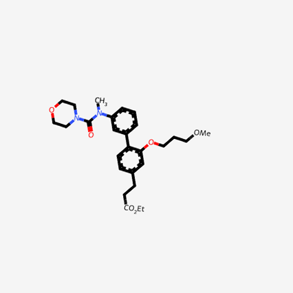 CCOC(=O)CCc1ccc(-c2cccc(N(C)C(=O)N3CCOCC3)c2)c(OCCCOC)c1